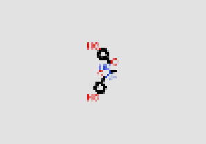 CC(NC(=O)c1ccc(O)cc1)NC(=O)c1ccc(O)cc1